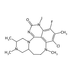 Cc1c(Cl)c2c3c(nc(=O)n(I)c3c1F)N1CC(C)N(C)CC1CCN2C